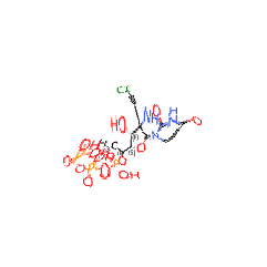 C[C@H](OP(=O)(O)OP(=O)(O)OP(=O)(O)O)[C@H]1O[C@@H](n2ccc(=O)[nH]c2=O)C(N)(C#CCl)[C@H]1O